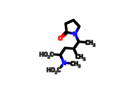 CC(CC(C(=O)O)N(C)C(=O)O)C(C)N1CCCC1=O